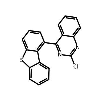 Clc1nc(-c2cccc3sc4ccccc4c23)c2ccccc2n1